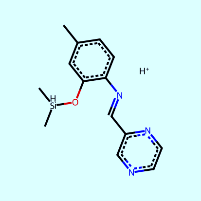 Cc1ccc(N=Cc2cnccn2)c(O[SiH](C)C)c1.[H+]